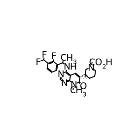 CC(Nc1ncnc2c1cc([C@H]1CCCN(C(=O)O)C1)c(=O)n2C)c1cccc(C(F)F)c1F